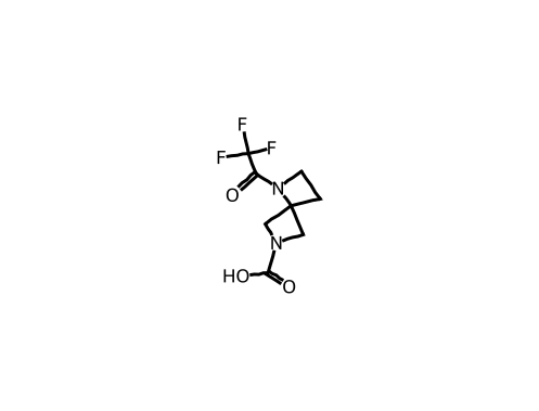 O=C(O)N1CC2(CCN2C(=O)C(F)(F)F)C1